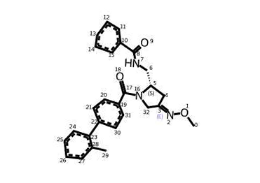 CO/N=C1\C[C@@H](CNC(=O)c2ccccc2)N(C(=O)c2ccc(-c3ccccc3C)cc2)C1